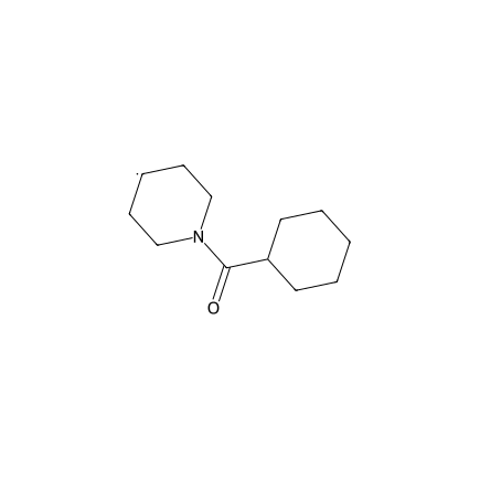 O=C(C1CCCCC1)N1CC[CH]CC1